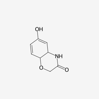 O=C1COC2C=CC(O)=CC2N1